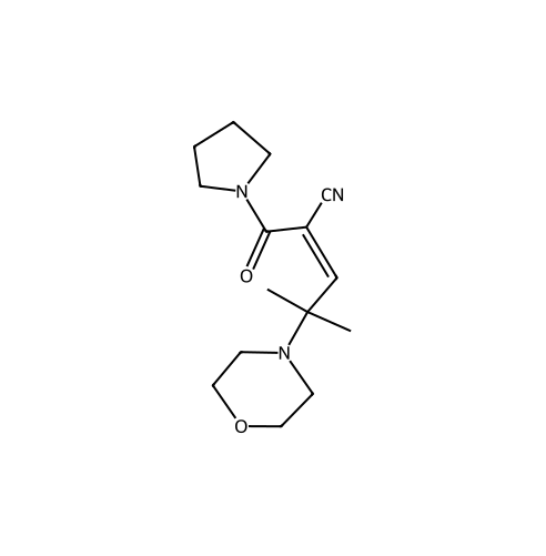 CC(C)(/C=C(/C#N)C(=O)N1CCCC1)N1CCOCC1